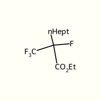 CCCCCCCC(F)(C(=O)OCC)C(F)(F)F